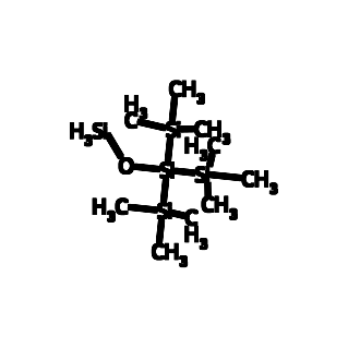 C[Si](C)(C)[Si](O[SiH3])([Si](C)(C)C)[Si](C)(C)C